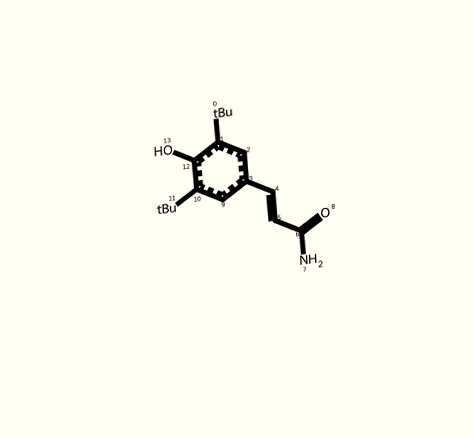 CC(C)(C)c1cc(/C=C/C(N)=O)cc(C(C)(C)C)c1O